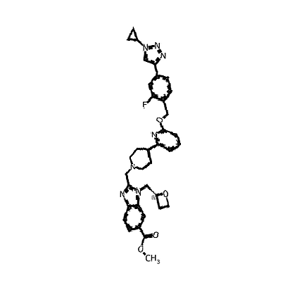 COC(=O)c1ccc2nc(CN3CCC(c4cccc(OCc5ccc(-c6cn(C7CC7)nn6)cc5F)n4)CC3)n(C[C@@H]3CCO3)c2c1